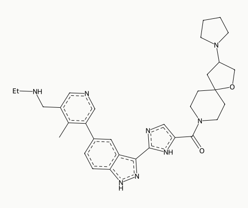 CCNCc1cncc(-c2ccc3[nH]nc(-c4ncc(C(=O)N5CCC6(CC5)CC(N5CCCC5)CO6)[nH]4)c3c2)c1C